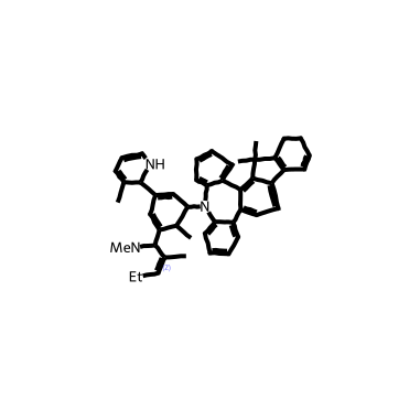 CC/C=C(/C)C(NC)C1=CC(C2NC=CC=C2C)=CC(N2c3ccccc3-c3ccc4c(c3-c3ccccc32)C(C)(C)C2=C4C=CCC2)C1C